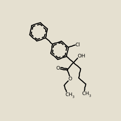 CCCCC(O)(C(=O)OCC)c1ccc(-c2ccccc2)cc1Cl